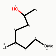 CCC(CCOC)CCC(C)O